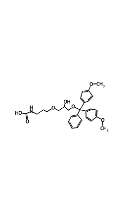 COc1ccc(C(OCC(O)COCCCNC(=O)O)(c2ccccc2)c2ccc(OC)cc2)cc1